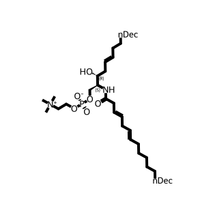 CCCCCCCCCCCCC=CC[C@@H](O)[C@H](COP(=O)([O-])OCC[N+](C)(C)C)NC(=O)CC=CCC=CCCCCCCCCCCCCCCC